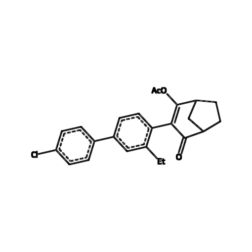 CCc1cc(-c2ccc(Cl)cc2)ccc1C1=C(OC(C)=O)C2CCC(C2)C1=O